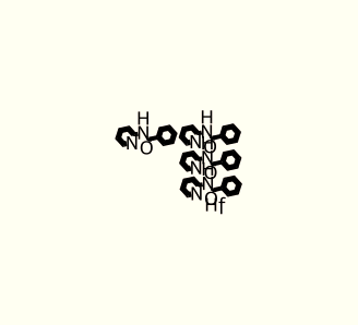 O=C(Nc1ccccn1)c1ccccc1.O=C(Nc1ccccn1)c1ccccc1.O=C(Nc1ccccn1)c1ccccc1.O=C(Nc1ccccn1)c1ccccc1.[Hf]